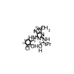 CC(C)C(CO)Nc1nc(NCc2cccc(Cl)c2O)c2ncn(C)c2n1